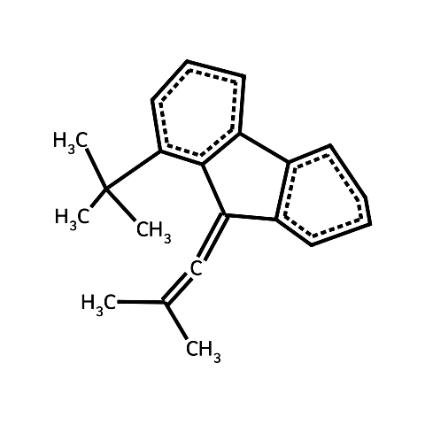 CC(C)=C=C1c2ccccc2-c2cccc(C(C)(C)C)c21